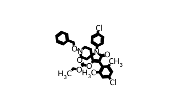 CCOC(=O)OC1=C(c2c(C)cc(Cl)cc2C)C(=O)N(c2ccc(Cl)cc2)C12CCN(OCc1ccccc1)CC2